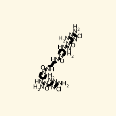 N/C(=N\C(=O)c1nc(Cl)c(N)nc1N)NC1CCN(C(=O)NCCCCNC(=O)N2CCC(N/C(N)=N/C(=O)c3nc(Cl)c(N)nc3N)CC2)CC1